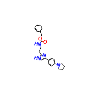 O=C(NCCc1nc(-c2ccc(N3CCCC3)cc2)c[nH]1)OCc1ccccc1